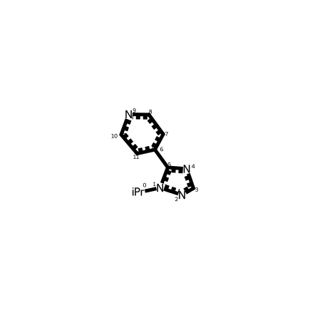 CC(C)n1ncnc1-c1ccncc1